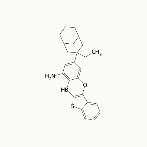 CCC1(c2cc(N)c3c(c2)Oc2c(sc4ccccc24)B3)CC2CCCC(C2)C1